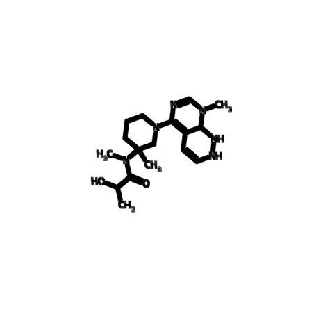 CC(O)C(=O)N(C)C1(C)CCCN(C2=C3C=CNNC3N(C)C=N2)C1